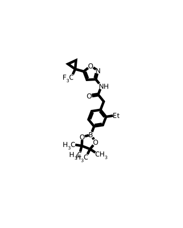 CCc1cc(B2OC(C)(C)C(C)(C)O2)ccc1CC(=O)Nc1cc(C2(C(F)(F)F)CC2)on1